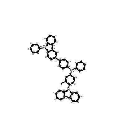 Cc1cc(N(c2ccccc2)c2ccc(-c3ccc4c(c3)c3ccccc3n4-c3ccccc3)cc2)ccc1-n1c2ccccc2c2ccccc21